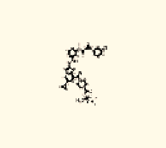 CC(C)(C)OC(=O)N1CCN(C(=O)c2cc(C3CC3)cn3cc(CNc4cc(NC(=O)[C@H]5C[C@@H]5c5cccc(Cl)c5)ncn4)nc23)CC1